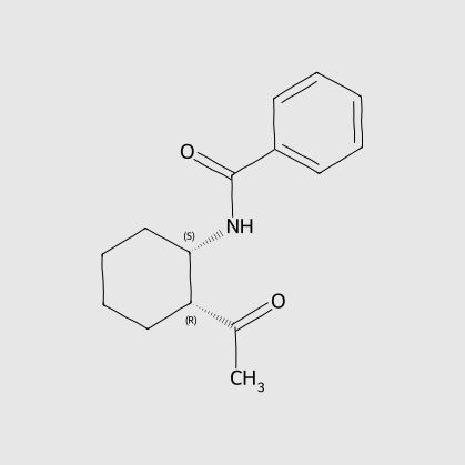 CC(=O)[C@@H]1CCCC[C@@H]1NC(=O)c1ccccc1